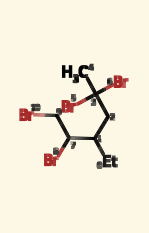 CCC(CC(C)(Br)Br)C(Br)CBr